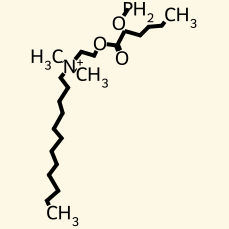 CCCCCCCCCCCC[N+](C)(C)CCOC(=O)C(CCCC)OP